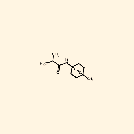 CC(C)C(=O)NC12CCC(C)(CC1)CC2